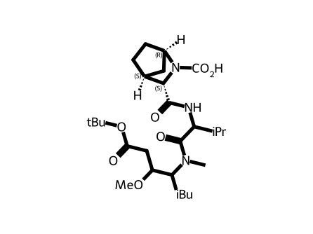 CCC(C)C(C(CC(=O)OC(C)(C)C)OC)N(C)C(=O)C(NC(=O)[C@@H]1[C@H]2CC[C@H](C2)N1C(=O)O)C(C)C